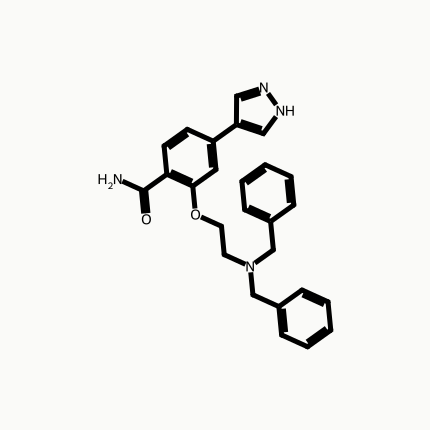 NC(=O)c1ccc(-c2cn[nH]c2)cc1OCCN(Cc1ccccc1)Cc1ccccc1